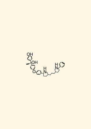 C#CC(O)(c1ccc(O)cc1)c1ccc(Oc2ccc(C3CCC(CCCC4CCC(C5=CCC#CC=C5)NC4)CN3)cc2)cc1